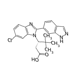 CC(C)(C)[C@H](CC(=O)O)n1c(-c2ccc3cn[nH]c3c2)nc2ccc(Cl)cc21